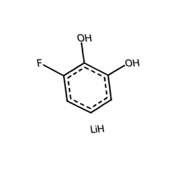 Oc1cccc(F)c1O.[LiH]